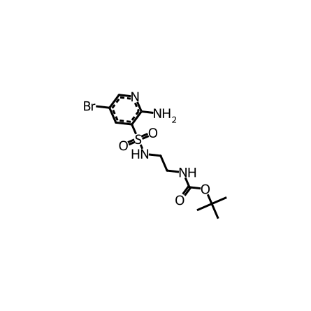 CC(C)(C)OC(=O)NCCNS(=O)(=O)c1cc(Br)cnc1N